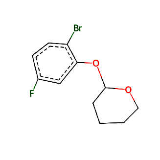 Fc1ccc(Br)c(OC2CCCCO2)c1